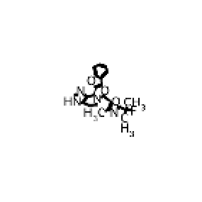 Cc1nc(C(C)(C)F)oc1C(=O)N1CCc2[nH]cnc2[C@H]1c1cc2ccccc2o1